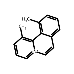 Cc1cccc2cc[n+]3cccc(C)c3c12